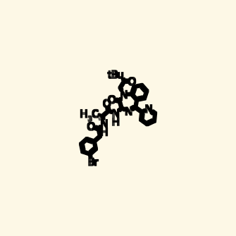 C[C@H](NC(=O)Cc1cccc(Br)c1)C(=O)NC1N=C(c2ccccn2)c2ccccc2N(CC(=O)C(C)(C)C)C1=O